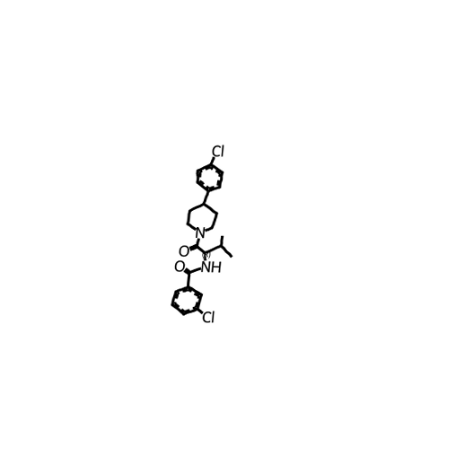 CC(C)[C@@H](NC(=O)c1cccc(Cl)c1)C(=O)N1CCC(c2ccc(Cl)cc2)CC1